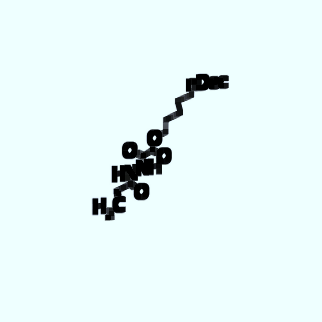 C=CC(=O)NNC(=O)C(=O)OCCCCCCCCCCCCCCC